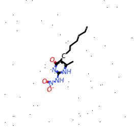 CCCCCCCc1c(C)[nH]c(N[N+](=O)[O-])nc1=O